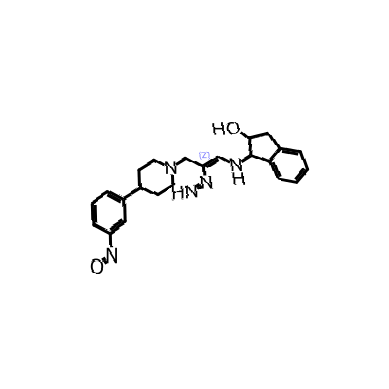 N=N/C(=C\NC1c2ccccc2CC1O)CN1CCC(c2cccc(N=O)c2)CC1